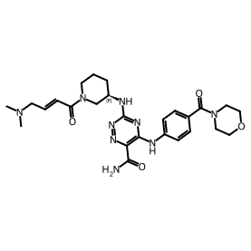 CN(C)CC=CC(=O)N1CCC[C@@H](Nc2nnc(C(N)=O)c(Nc3ccc(C(=O)N4CCOCC4)cc3)n2)C1